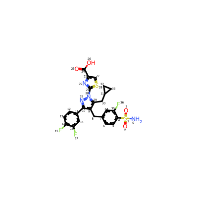 NS(=O)(=O)c1ccc(Cc2c(-c3ccc(F)c(F)c3)nn(-c3nc(C(=O)O)cs3)c2CC2CC2)cc1F